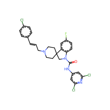 O=C(Nc1cc(Cl)nc(Cl)c1)N1CC2(CCN(CC=Cc3ccc(Cl)cc3)CC2)c2cc(F)ccc21